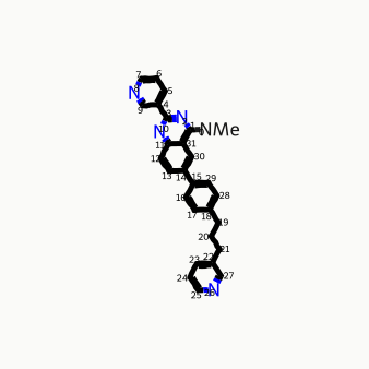 CNc1nc(-c2cccnc2)nc2ccc(-c3ccc(CCCc4cccnc4)cc3)cc12